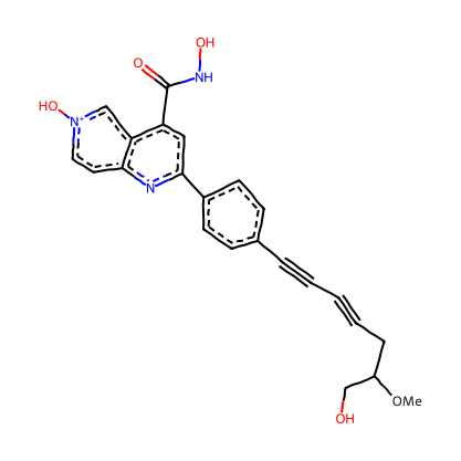 COC(CO)CC#CC#Cc1ccc(-c2cc(C(=O)NO)c3c[n+](O)ccc3n2)cc1